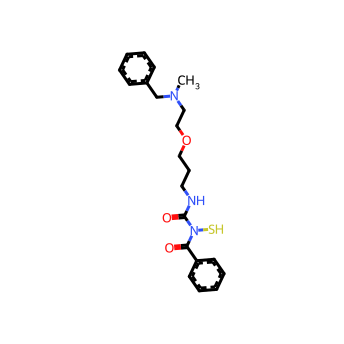 CN(CCOCCCNC(=O)N(S)C(=O)c1ccccc1)Cc1ccccc1